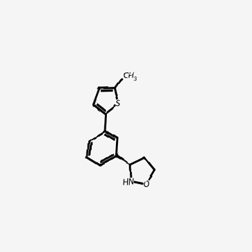 Cc1ccc(-c2cccc([C@H]3CCON3)c2)s1